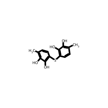 Cc1ccc(Sc2ccc(C)c(O)c2O)c(O)c1O